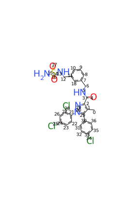 Cc1c(C(=O)NCc2cccc(CNS(N)(=O)=O)c2)nn(-c2ccc(Cl)cc2Cl)c1-c1ccc(Cl)cc1